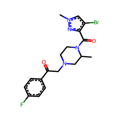 CC1CN(CC(=O)c2ccc(F)cc2)CCN1C(=O)c1nn(C)cc1Br